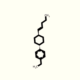 CCC/C=C/[C@H]1CC[C@H](c2ccc(CC)cc2)CC1